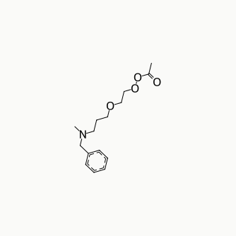 CC(=O)OOCCOCCCN(C)Cc1ccccc1